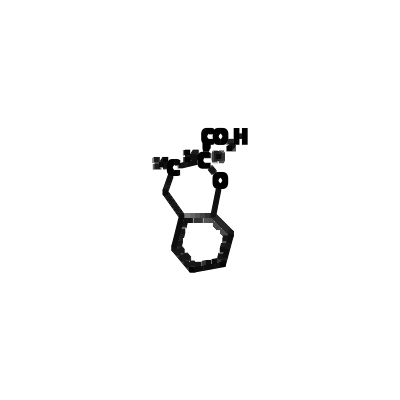 O=C(O)[14C@@H]1[14CH2]Cc2ccccc2O1